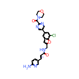 Nc1ccc(/C=C/C(=O)NCc2cc3cc(-c4cnc(C(=O)N5CCOCC5)nc4)cc(Cl)c3o2)cn1